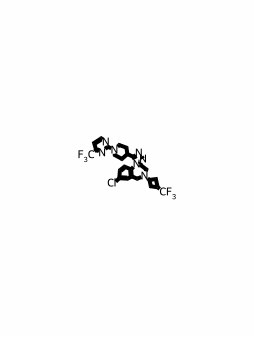 FC(F)(F)c1ccnc(N2CCC(c3nnc4n3-c3ccc(Cl)cc3CN(C3CC(C(F)(F)F)C3)C4)CC2)n1